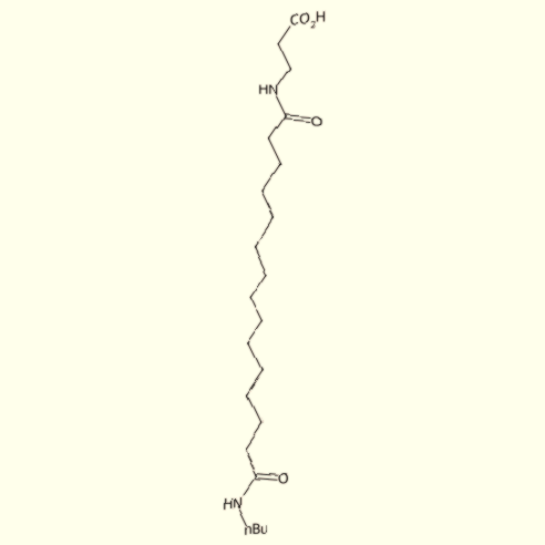 CCCCNC(=O)CCCCCCCCCCCCCC(=O)NCCC(=O)O